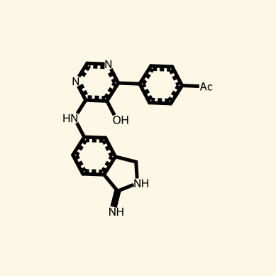 CC(=O)c1ccc(-c2ncnc(Nc3ccc4c(c3)CNC4=N)c2O)cc1